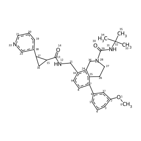 COc1cccc(-c2ccc(CNC(=O)C3CC3c3cccnc3)c3c2CCN(C(=O)NC(C)(C)C)C3)c1